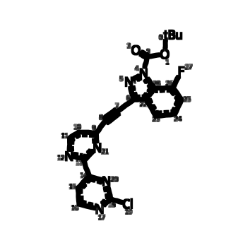 CC(C)(C)OC(=O)n1nc(C#Cc2ccnc(-c3ccnc(Cl)n3)n2)c2cccc(F)c21